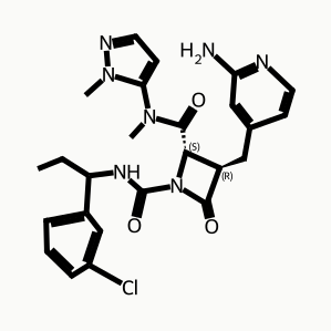 CCC(NC(=O)N1C(=O)[C@H](Cc2ccnc(N)c2)[C@H]1C(=O)N(C)c1ccnn1C)c1cccc(Cl)c1